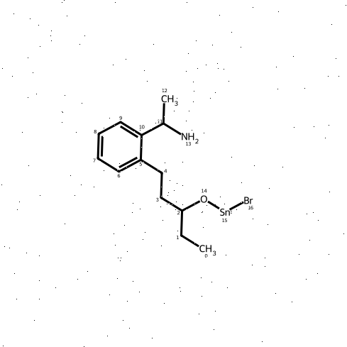 CCC(CCc1ccccc1C(C)N)[O][Sn][Br]